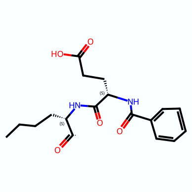 CCCC[C@@H]([C]=O)NC(=O)[C@H](CCC(=O)O)NC(=O)c1ccccc1